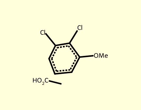 CC(=O)O.COc1cccc(Cl)c1Cl